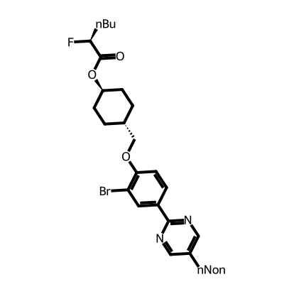 CCCCCCCCCc1cnc(-c2ccc(OC[C@H]3CC[C@H](OC(=O)[C@@H](F)CCCC)CC3)c(Br)c2)nc1